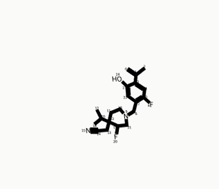 C=C(C)c1cc(F)c(CN2CCC(CC#N)(C(C)C)C(F)C2)cc1O